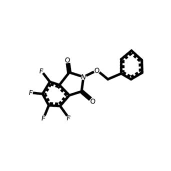 O=C1c2c(F)c(F)c(F)c(F)c2C(=O)N1OCc1ccccc1